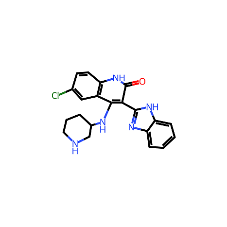 O=c1[nH]c2ccc(Cl)cc2c(NC2CCCNC2)c1-c1nc2ccccc2[nH]1